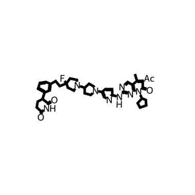 CC(=O)c1c(C)c2cnc(Nc3ccc(N4CCC(N5CCC(F)(CCc6cccc(C7CCC(=O)NC7=O)c6)CC5)CC4)cn3)nc2n(C2CCCC2)c1=O